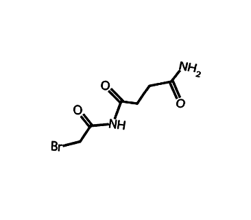 NC(=O)CCC(=O)NC(=O)CBr